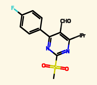 CC(C)c1nc(S(C)(=O)=O)nc(-c2ccc(F)cc2)c1C=O